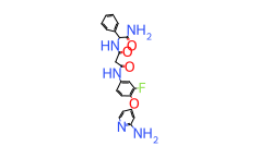 NC(=O)[C@@H](NC(=O)CC(=O)Nc1ccc(Oc2ccnc(N)c2)c(F)c1)c1ccccc1